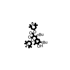 CCCCC(c1cc(C)c(O)c(C(C)(C)C)c1)C(C(=O)OC1CC(C)(C)N(C)C(C)(C)C1)C(=O)OC1CC(C)(C)N(C)C(C)(C)C1